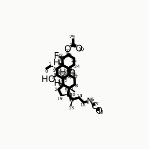 CC[C@H]1[C@@H](O)[C@@H]2[C@H](CC[C@]3(C)[C@@H]([C@H](C)CCN=C=O)CC[C@@H]23)[C@@]2(C)CC[C@@H](OC(C)=O)[C@H](F)[C@@H]12